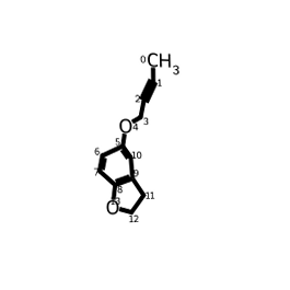 CC#CCOc1ccc2c(c1)CCO2